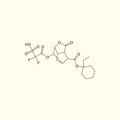 CCC1(OC(=O)C2C3CC4C(OC(=O)C42)C3OC(=O)C(F)(F)S(=O)(=O)O)CCCCC1